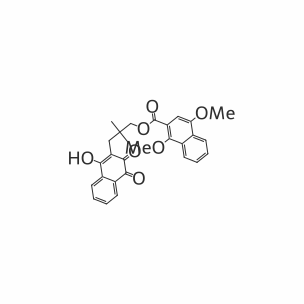 COc1cc(C(=O)OCC(C)(C)CC2=C(O)c3ccccc3C(=O)C2=O)c(OC)c2ccccc12